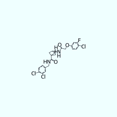 O=C(COc1ccc(Cl)c(F)c1)N[C@@H]1CC2(C(=O)NCc3ccc(Cl)c(Cl)c3)CC1C2